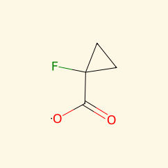 [O]C(=O)C1(F)CC1